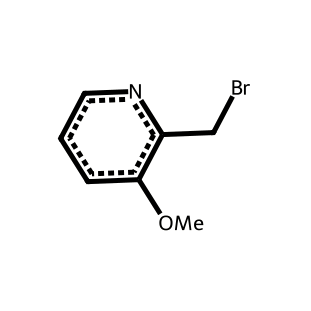 COc1cccnc1CBr